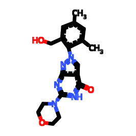 Cc1cc(C)c(-n2cc3c(=O)[nH]c(N4CCOCC4)nc3n2)c(CO)c1